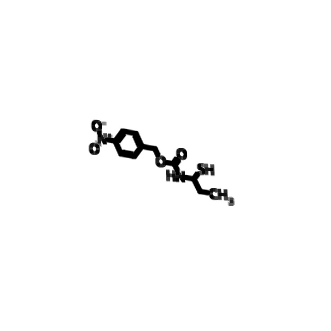 CCC(S)NC(=O)OCc1ccc([N+](=O)[O-])cc1